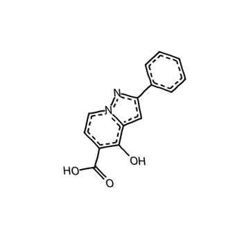 O=C(O)c1ccn2nc(-c3ccccc3)cc2c1O